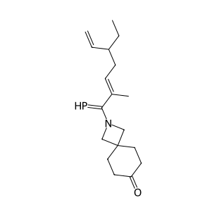 C=CC(CC)C/C=C(\C)C(=P)N1CC2(CCC(=O)CC2)C1